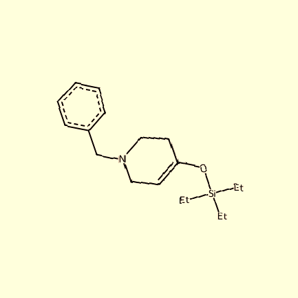 CC[Si](CC)(CC)OC1=CCN(Cc2ccccc2)CC1